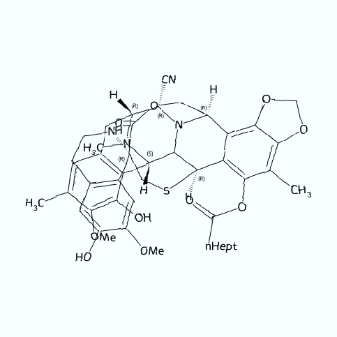 CCCCCCCC(=O)Oc1c(C)c2c(c3c1[C@H]1SC[C@]4(NCCc5cc(O)c(OC)cc54)C(=O)OC[C@@H]3N3C1[C@@H]1c4c(cc(C)c(OC)c4O)C[C@H]([C@@H]3C#N)N1C)OCO2